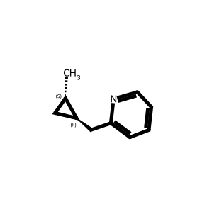 C[C@H]1C[C@@H]1Cc1ccccn1